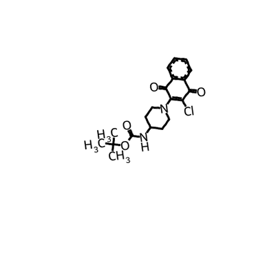 CC(C)(C)OC(=O)NC1CCN(C2=C(Cl)C(=O)c3ccccc3C2=O)CC1